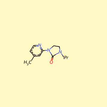 Cc1ccnc(N2CCN(C(C)C)C2=O)c1